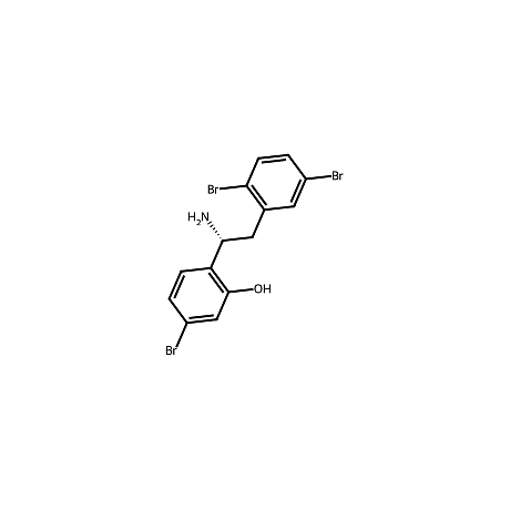 N[C@H](Cc1cc(Br)ccc1Br)c1ccc(Br)cc1O